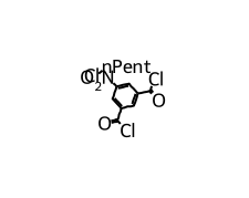 CCCCCCl.O=C(Cl)c1cc(C(=O)Cl)cc([N+](=O)[O-])c1